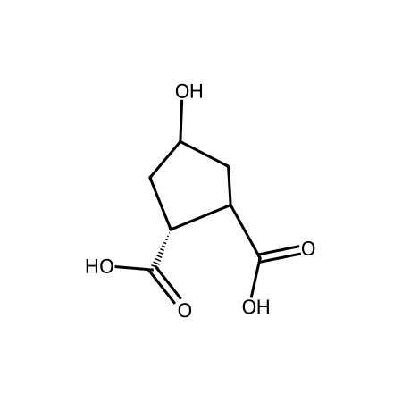 O=C(O)C1CC(O)C[C@H]1C(=O)O